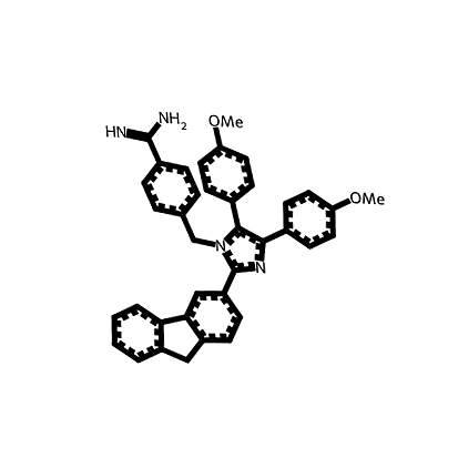 COc1ccc(-c2nc(-c3ccc4c(c3)-c3ccccc3C4)n(Cc3ccc(C(=N)N)cc3)c2-c2ccc(OC)cc2)cc1